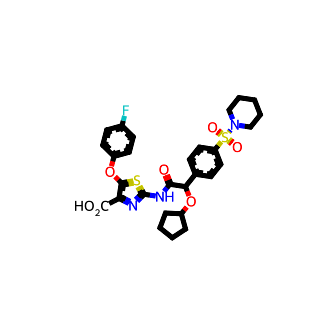 O=C(O)c1nc(NC(=O)C(OC2CCCC2)c2ccc(S(=O)(=O)N3CCCCC3)cc2)sc1Oc1ccc(F)cc1